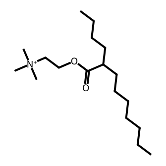 CCCCCCCC(CCCC)C(=O)OCC[N+](C)(C)C